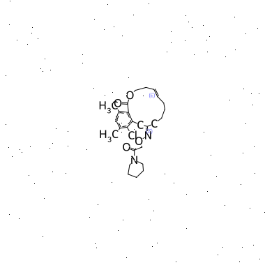 Cc1cc(C)c2c(c1Cl)C/C(=N\OCC(=O)N1CCCCC1)CCCC/C=C/CCOC2=O